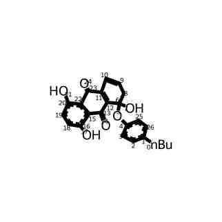 CCCCc1ccc(OC2(O)CC=CC3=C2C(=O)c2c(O)ccc(O)c2C3=O)cc1